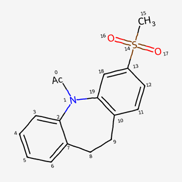 CC(=O)N1c2ccccc2CCc2ccc(S(C)(=O)=O)cc21